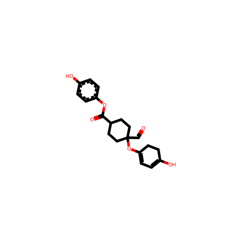 O=CC1(OC2=CC=C(O)CC2)CCC(C(=O)Oc2ccc(O)cc2)CC1